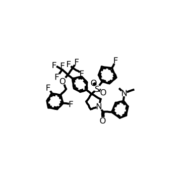 CN(C)c1cccc(C(=O)N2CCC(c3ccc(C(OCc4c(F)cccc4F)(C(F)(F)F)C(F)(F)F)cc3)(S(=O)(=O)c3ccc(F)cc3)C2)c1